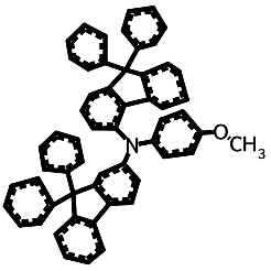 COc1ccc(N(c2ccc3c(c2)C(c2ccccc2)(c2ccccc2)c2ccccc2-3)c2cccc3c2-c2ccccc2C3(c2ccccc2)c2ccccc2)cc1